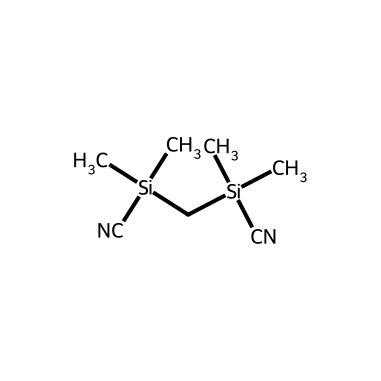 C[Si](C)(C#N)C[Si](C)(C)C#N